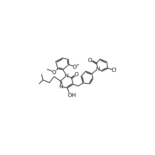 COc1cccc(OC)c1-n1c(CCC(C)C)nc(O)c(Cc2ccc(-n3cc(Cl)ccc3=O)cc2)c1=O